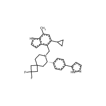 Cc1cc(C2CC2)c(CN2CCC3(C[C@H]2c2ccc(-c4ccn[nH]4)cc2)CC(F)(F)C3)c2cc[nH]c12